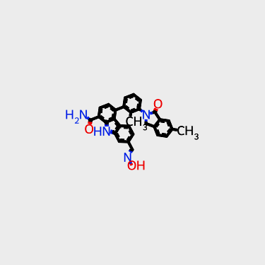 Cc1ccc2c(c1)C(=O)N(c1cccc(-c3ccc(C(N)=O)c4[nH]c5cc(C=NO)ccc5c34)c1C)C2